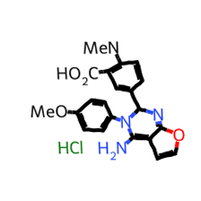 CNc1ccc(C2N=c3occc3=C(N)N2c2ccc(OC)cc2)cc1C(=O)O.Cl